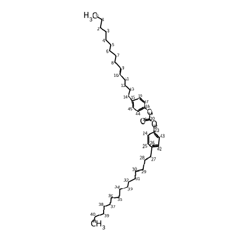 CCCCCCCCCCCCCCCc1ccc(OC(=O)Oc2ccc(CCCCCCCCCCCCCCC)cc2)cc1